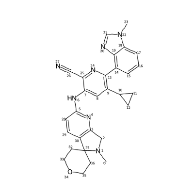 CN1Cc2nc(Nc3cc(C4CC4)c(-c4cccc5c4ncn5C)nc3C#N)ccc2C12CCOCC2